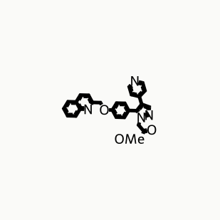 COC(=O)Cn1ncc(-c2ccncc2)c1-c1ccc(OCc2ccc3ccccc3n2)cc1